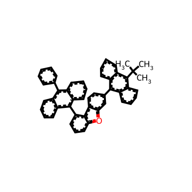 CC(C)(C)c1c2ccccc2c(-c2ccc3c(c2)oc2cccc(-c4c5ccccc5c(-c5ccccc5)c5ccccc45)c23)c2ccccc12